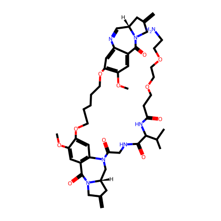 C=C1C[C@H]2CN(C(=O)CNC(=O)C(NC(=O)CCOCCOCCN)C(C)C)c3cc(OCCCCCOc4cc5c(cc4OC)C(=O)N4CC(=C)C[C@H]4C=N5)c(OC)cc3C(=O)N2C1